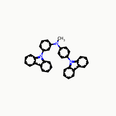 CN(c1ccc(-n2c3ccccc3c3ccccc32)cc1)c1cccc(-n2c3ccccc3c3ccccc32)c1